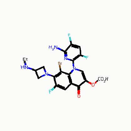 CCNC1CN(c2c(F)cc3c(=O)c(OC(=O)O)cn(-c4nc(N)c(F)cc4F)c3c2Br)C1